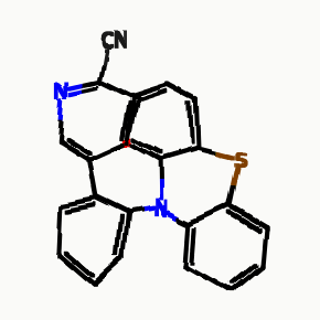 N#Cc1ccc(-c2ccccc2N2c3ccccc3Sc3ccccc32)cn1